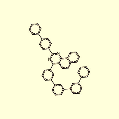 c1ccc(-c2ccc(-c3nc(-c4cccc(-c5cccc(-c6cccc(-c7ccccc7)c6)c5)c4)c4ccc5ccccc5c4n3)cc2)cc1